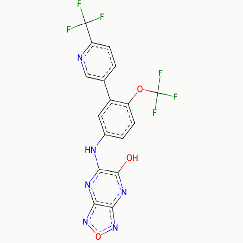 Oc1nc2nonc2nc1Nc1ccc(OC(F)(F)F)c(-c2ccc(C(F)(F)F)nc2)c1